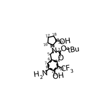 CC(C)(C)OC(=O)N(Cc1cc(N)c(O)c(C(F)(F)F)c1)[C@@H]1CCC[C@@H]1O